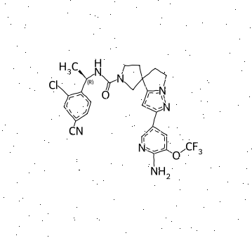 C[C@@H](NC(=O)N1CCC2(CCn3nc(-c4cnc(N)c(OC(F)(F)F)c4)cc32)C1)c1ccc(C#N)cc1Cl